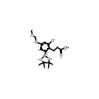 COCOc1cc(Cl)c(CCC(=O)O)c(B2OC(C)(C)C(C)(C)O2)c1